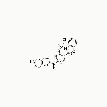 CC1(C)Sc2nc(Nc3ccc4c(c3)CCNC4)ncc2C(=O)N1c1c(Cl)cccc1Cl